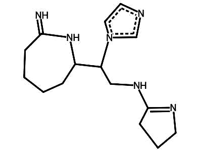 N=C1CCCCC(C(CNC2=NCCC2)n2ccnc2)N1